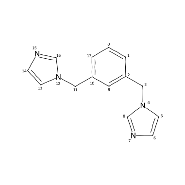 c1cc(Cn2ccnc2)cc(Cn2ccnc2)c1